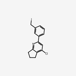 Clc1cc(-c2cccc(CI)c2)nc2c1CCC2